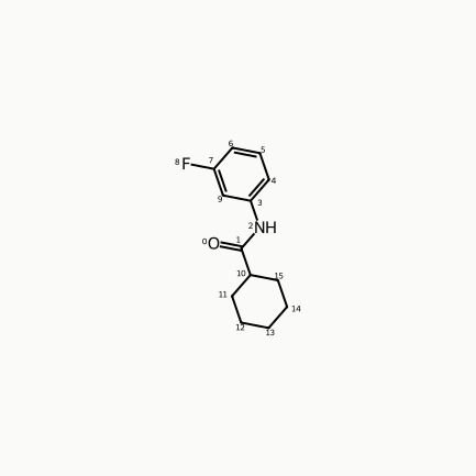 O=C(Nc1cccc(F)c1)C1CCCCC1